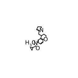 CN(C(=O)C1CC1)c1ccc2c(c1)C(CC1=CCC=N1)CCO2